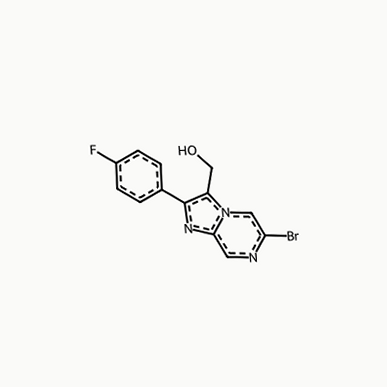 OCc1c(-c2ccc(F)cc2)nc2cnc(Br)cn12